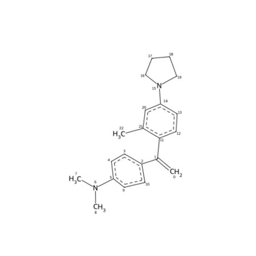 C=C(c1ccc(N(C)C)cc1)c1ccc(N2CCCC2)cc1C